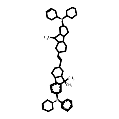 CC1C2CC(/C=C/C3CCC4c5ccc(N(c6ccccc6)[C@@H]6CC=CCC6)cc5C(C)(C)C4C3)CCC2C2CCC(N(C3CC=CCC3)C3CCCCC3)CC12